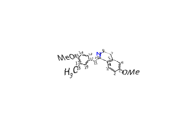 COc1ccc2c(c1)CCN=C2Cc1ccc(OC)c(C)c1